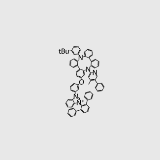 Cc1cc(N2c3ccccc3-c3ccccc3N(c3cccc(C(C)(C)C)c3)c3ccccc3-c3ccc(Oc4cccc(-n5c[n+](-c6c(-c7ccccc7)cccc6-c6ccccc6)c6ccccc65)c4)cc32)ncc1-c1ccccc1